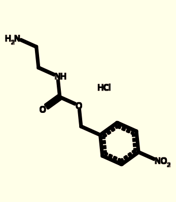 Cl.NCCNC(=O)OCc1ccc([N+](=O)[O-])cc1